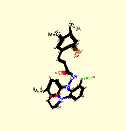 COc1ccc(N(NC(=O)C=Cc2cc(OC)c(C(=O)O)cc2Br)c2c(C)cccc2N2CCCCC2)cc1.Cl